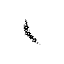 CC1COC(c2ccc(-c3cc(F)c(C(F)(F)Oc4cc(F)c(OCCCF)c(F)c4)c(F)c3)cc2)OC1